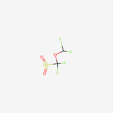 O=[SH](=O)C(F)(F)OC(F)F